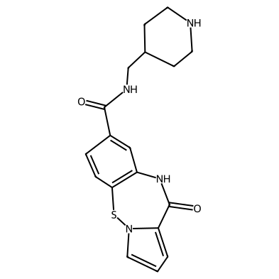 O=C(NCC1CCNCC1)c1ccc2c(c1)NC(=O)c1cccn1S2